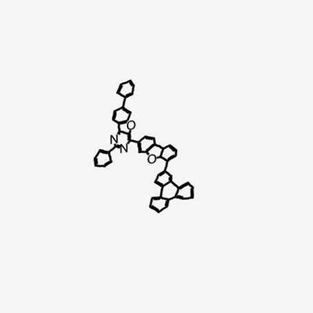 C1=CC2c3ccc(-c4nc(-c5ccccc5)nc5c4oc4cc(-c6ccccc6)ccc45)cc3OC2C(c2ccc3c4ccccc4c4ccccc4c3c2)=C1